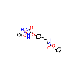 CC(C)(C)OC(=O)N[C@@H](COc1ccc(CCCCNC(=O)OCc2ccccc2)cc1)C(N)=O